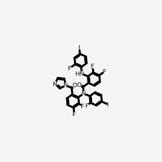 O=C(c1ccc(F)c(F)c1Nc1ccc(I)cc1F)N(c1ccc(I)cc1F)c1c(C(=O)n2ccnc2)ccc(F)c1F